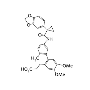 COc1cc(CCC(=O)O)c(-c2cc(NC(=O)C3(c4ccc5c(c4)OCO5)CC3)ccc2C)cc1OC